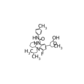 CCC(CC(=O)O)c1cc(F)c(N(CC(C)C)C2CCCCC2)c(NC(=O)Nc2ccc(C)cc2)c1